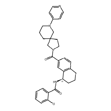 O=C(N[C@@H]1CCCc2ccc(C(=O)N3CCC4(CCCN(c5ccncc5)C4)C3)cc21)c1ccccc1Cl